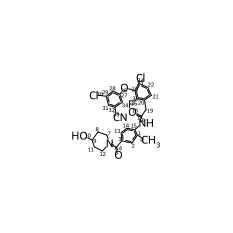 Cc1cc(C(=O)N2CCC(O)CC2)ccc1NC(=O)Cc1ccc(Cl)c(Oc2cc(Cl)cc(C#N)c2)c1F